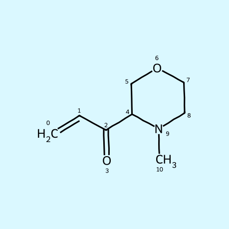 C=CC(=O)C1COCCN1C